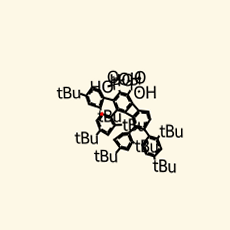 CC(C)(C)c1ccc(-c2ccc3c(c2-c2ccc(C(C)(C)C)cc2C(C)(C)C)-c2c(-c4ccc(C(C)(C)C)cc4C(C)(C)C)c(-c4ccc(C(C)(C)C)cc4C(C)(C)C)c(P(=O)(O)O)c(P(=O)(O)O)c2-3)c(C(C)(C)C)c1